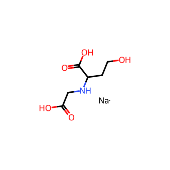 O=C(O)CNC(CCO)C(=O)O.[Na]